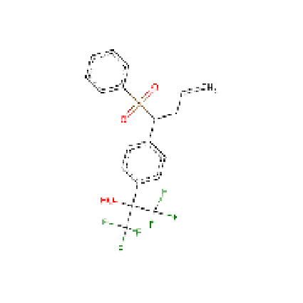 C=CCC(c1ccc(C(O)(C(F)(F)F)C(F)(F)F)cc1)S(=O)(=O)c1ccccc1